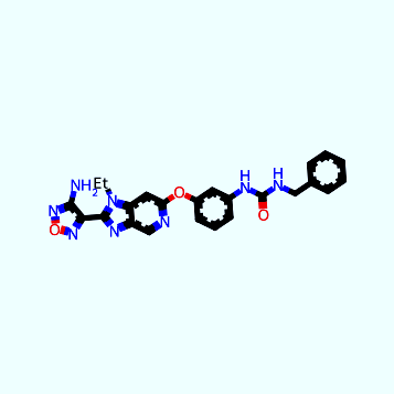 CCn1c(-c2nonc2N)nc2cnc(Oc3cccc(NC(=O)NCc4ccccc4)c3)cc21